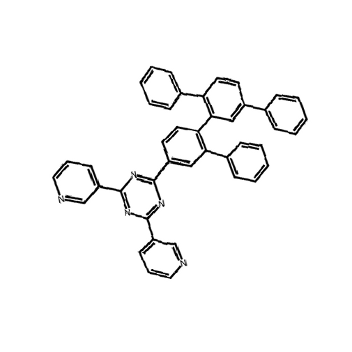 c1ccc(-c2ccc(-c3ccccc3)c(-c3ccc(-c4nc(-c5cccnc5)nc(-c5cccnc5)n4)cc3-c3ccccc3)c2)cc1